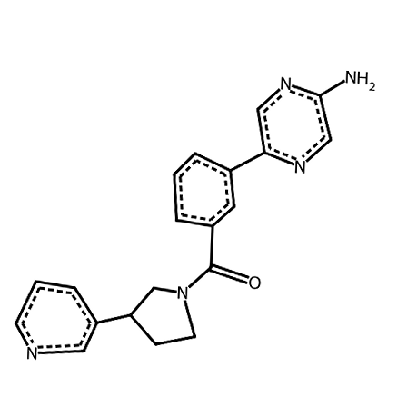 Nc1cnc(-c2cccc(C(=O)N3CCC(c4cccnc4)C3)c2)cn1